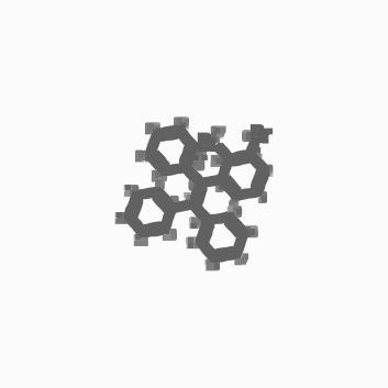 Brc1cccc(C(=C(c2ccccc2)c2ccccc2)c2ccccc2)c1Br